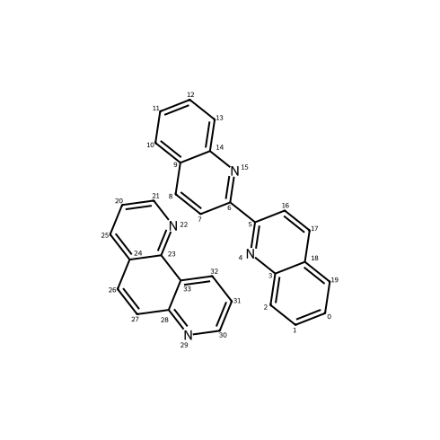 c1ccc2nc(-c3ccc4ccccc4n3)ccc2c1.c1cnc2c(c1)ccc1ncccc12